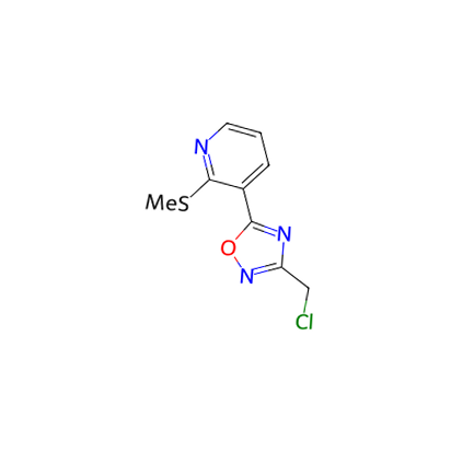 CSc1ncccc1-c1nc(CCl)no1